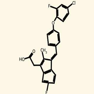 CC1=C(CC(=O)O)c2cc(F)ccc2/C1=C/c1ccc(Oc2ccc(Cl)cc2F)cc1